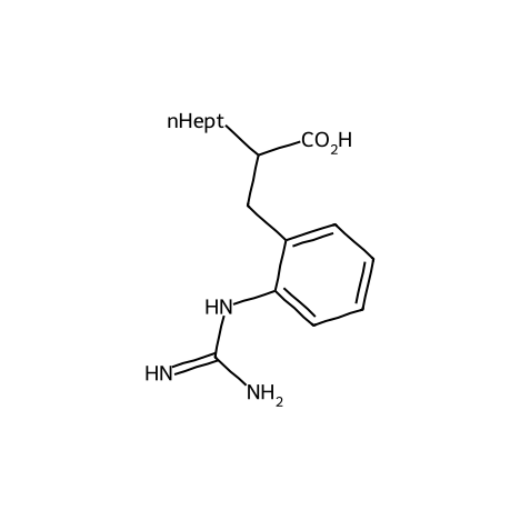 CCCCCCCC(Cc1ccccc1NC(=N)N)C(=O)O